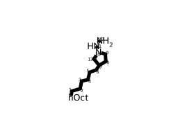 CCCCCCCCCCCCCCC1CCN(NN)C1